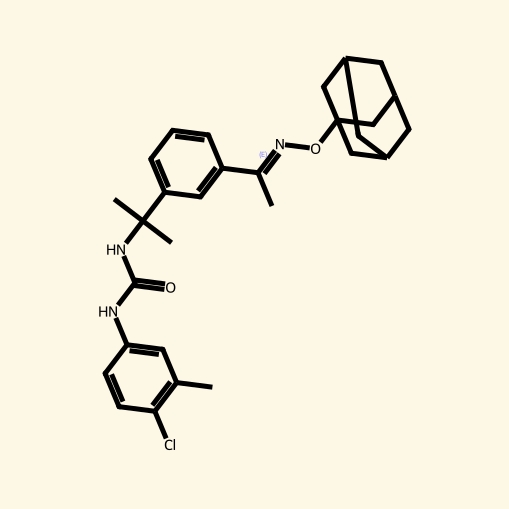 C/C(=N\OC12CC3CC(CC(C3)C1)C2)c1cccc(C(C)(C)NC(=O)Nc2ccc(Cl)c(C)c2)c1